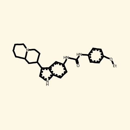 CCOc1ccc(NC(=O)Nc2ccc3[nH]cc(C4CCN5CCCCC5C4)c3c2)cc1